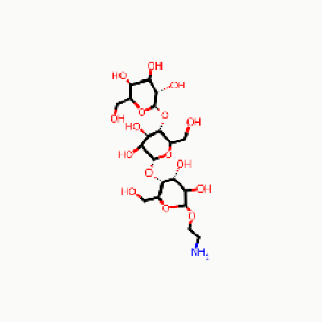 NCCO[C@H]1OC(CO)[C@H](O[C@H]2OC(CO)[C@@H](O[C@@H]3OC(CO)[C@@H](O)C(O)[C@@H]3O)[C@H](O)C2O)[C@H](O)C1O